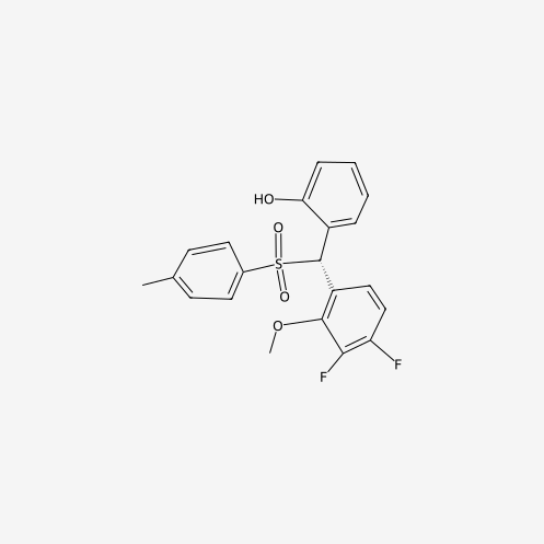 COc1c([C@@H](c2ccccc2O)S(=O)(=O)c2ccc(C)cc2)ccc(F)c1F